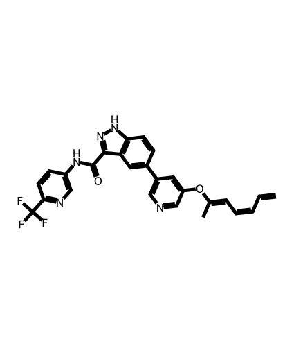 C=C/C=C\C=C(/C)Oc1cncc(-c2ccc3[nH]nc(C(=O)Nc4ccc(C(F)(F)F)nc4)c3c2)c1